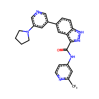 O=C(Nc1ccnc(C(F)(F)F)c1)c1n[nH]c2ccc(-c3cncc(N4CCCC4)c3)cc12